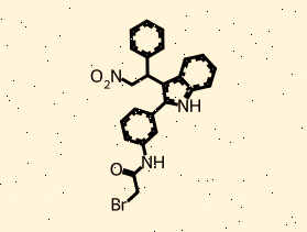 O=C(CBr)Nc1cccc(-c2[nH]c3ccccc3c2C(C[N+](=O)[O-])c2ccccc2)c1